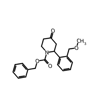 COCc1ccccc1C1CC(=O)CCN1C(=O)OCc1ccccc1